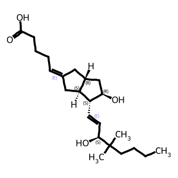 CCCCC(C)(C)[C@@H](O)/C=C/[C@@H]1[C@H]2C/C(=C/CCCC(=O)O)C[C@@H]2C[C@H]1O